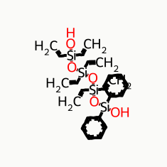 C=C[Si](O)(C=C)O[Si](C=C)(C=C)O[Si](C=C)(C=C)O[Si](O)(c1ccccc1)c1ccccc1